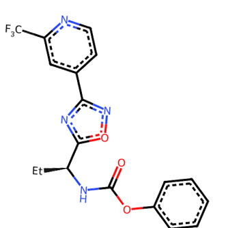 CC[C@H](NC(=O)Oc1ccccc1)c1nc(-c2ccnc(C(F)(F)F)c2)no1